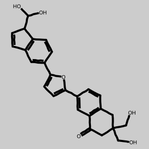 O=C1CC(CO)(CO)Cc2ccc(-c3ccc(-c4ccc5c(c4)C=CC5C(O)O)o3)cc21